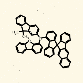 CC1(C)c2ccccc2-c2ccc(N(c3cccc4c3-c3ccccc3C43c4ccccc4-c4cc5ccccc5cc43)c3cccc4c3oc3ccccc34)cc21